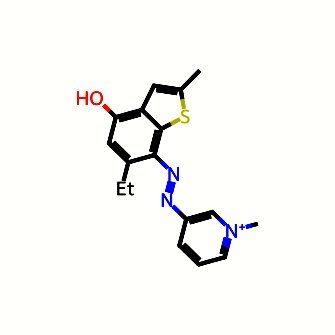 CCc1cc(O)c2cc(C)sc2c1/N=N/c1ccc[n+](C)c1